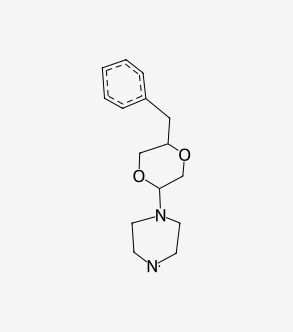 c1ccc(CC2COC(N3CC[N]CC3)CO2)cc1